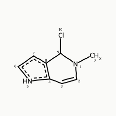 CN1C=Cc2[nH]ccc2C1Cl